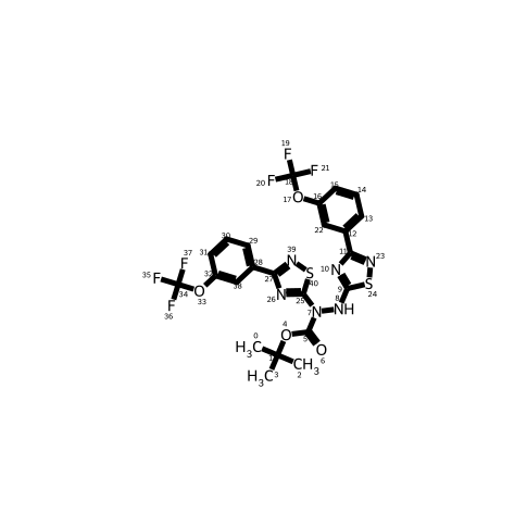 CC(C)(C)OC(=O)N(Nc1nc(-c2cccc(OC(F)(F)F)c2)ns1)c1nc(-c2cccc(OC(F)(F)F)c2)ns1